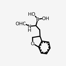 O=CNC(CC1COc2ccccc21)B(O)O